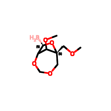 B[C@@H]1O[C@@]2(COC)COCOC1C2OC